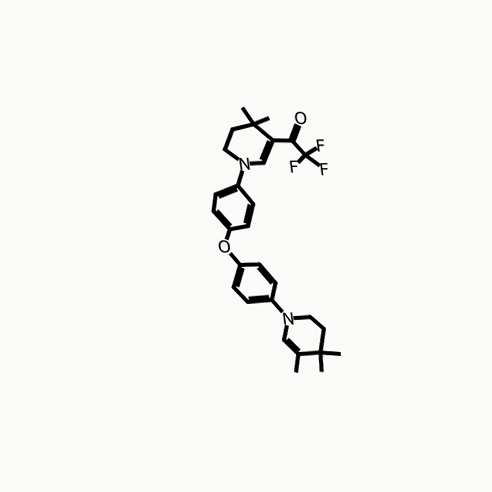 CC1=CN(c2ccc(Oc3ccc(N4C=C(C(=O)C(F)(F)F)C(C)(C)CC4)cc3)cc2)CCC1(C)C